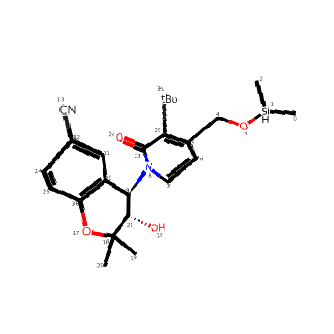 C[SiH](C)OCc1ccn([C@@H]2c3cc(C#N)ccc3OC(C)(C)[C@H]2O)c(=O)c1C(C)(C)C